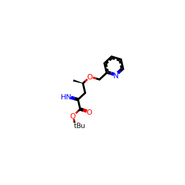 C[C@H](CC(=N)C(=O)OC(C)(C)C)OCc1ccccn1